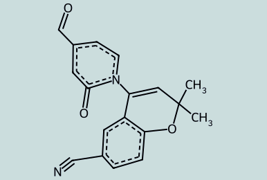 CC1(C)C=C(n2ccc(C=O)cc2=O)c2cc(C#N)ccc2O1